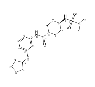 CC(C)S(=O)(=O)N[C@H]1CC[C@H](C(=O)Nc2cccc(OC3CCCC3)c2)CC1